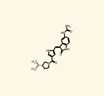 CN(C)[C@H]1CCN(C(=O)c2c[nH]c(C=C3C(=O)Nc4ccc(NC(N)=O)cc43)c2)C1